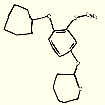 COSc1cc(OC2CCCCO2)ccc1OC1CCCCCC1